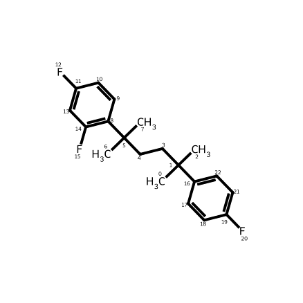 CC(C)(CCC(C)(C)c1ccc(F)cc1F)c1ccc(F)cc1